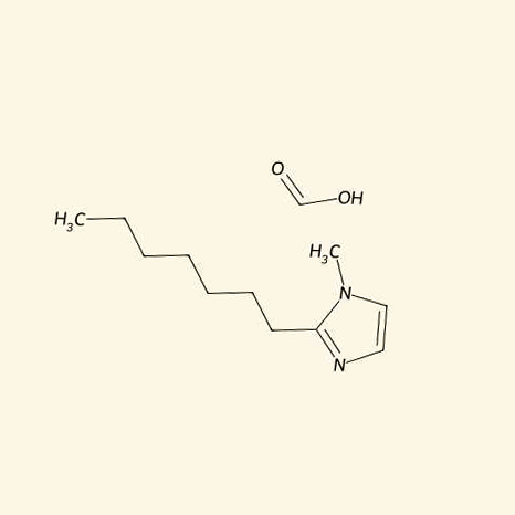 CCCCCCCc1nccn1C.O=CO